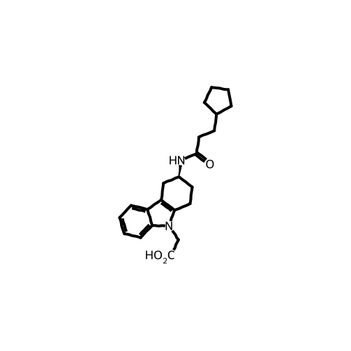 O=C(O)Cn1c2c(c3ccccc31)C[C@@H](NC(=O)CCC1CCCC1)CC2